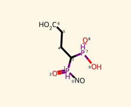 O=N[PH](=O)C(CCC(=O)O)[PH](=O)O